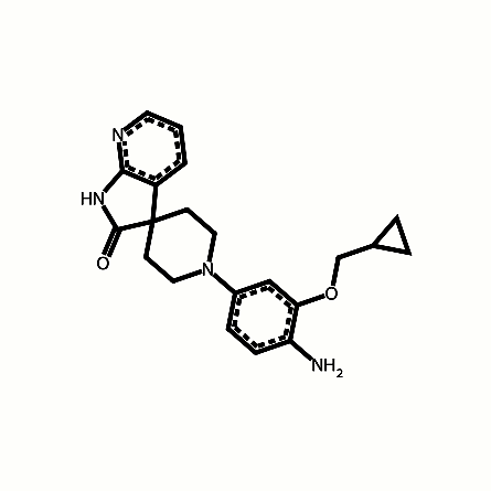 Nc1ccc(N2CCC3(CC2)C(=O)Nc2ncccc23)cc1OCC1CC1